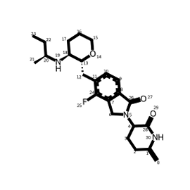 C=C1CCC(N2Cc3c(ccc(C[C@H]4OCCC[C@@H]4N[C@@H](C)CC)c3F)C2=O)C(=O)N1